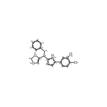 Clc1ccc(-c2cnc(C(Cc3ccccc3)C3=COCO3)[nH]2)cc1Cl